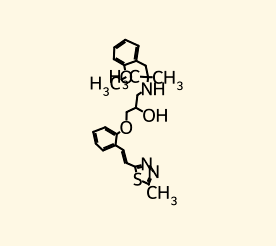 COc1ccccc1CC(C)(C)NCC(O)COc1ccccc1C=Cc1nnc(C)s1